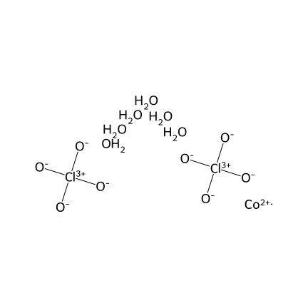 O.O.O.O.O.O.[Co+2].[O-][Cl+3]([O-])([O-])[O-].[O-][Cl+3]([O-])([O-])[O-]